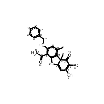 CC(=O)C1=C(O)C=C2Oc3c(C(N)=O)c(OCc4ccccc4)cc(C)c3C2(C)C1=O